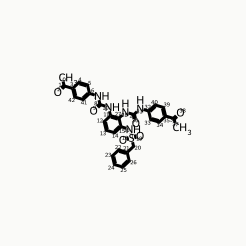 CC(=O)c1ccc(NC(=O)Nc2cccc(NS(=O)(=O)Cc3ccccc3)c2NC(=O)Nc2ccc(C(C)=O)cc2)cc1